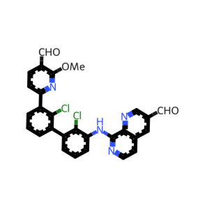 COc1nc(-c2cccc(-c3cccc(Nc4nccc5cc(C=O)cnc45)c3Cl)c2Cl)ccc1C=O